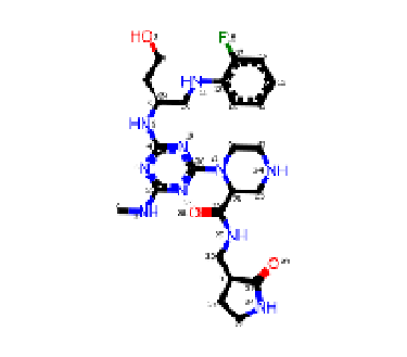 CNc1nc(N[C@@H](CCO)CNc2ccccc2F)nc(N2CCNCC2C(=O)NCC2CCNC2=O)n1